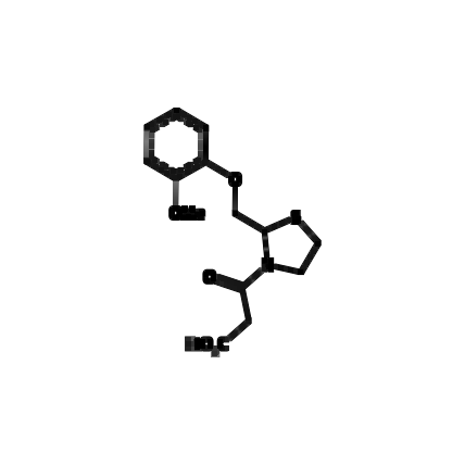 CCOC(=O)CC(=O)N1CCSC1COc1ccccc1OC